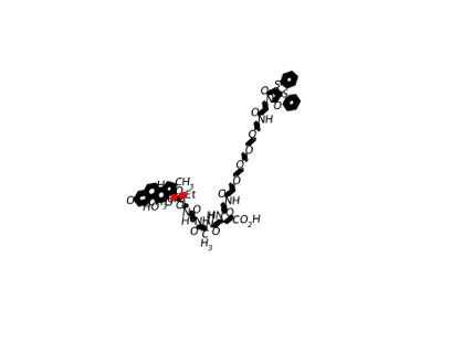 CCC(=O)O[C@]1(C(=O)COCNC(=O)CNC(=O)[C@H](C)NC(=O)[C@H](CCC(=O)O)NC(=O)CNC(=O)CCOCCOCCOCCOCCNC(=O)CCN2C(=O)C(Sc3ccccc3)=C(Sc3ccccc3)C2=O)[C@@H](C)CC2[C@@H]3CCC4=CC(=O)C=C[C@]4(C)[C@@]3(Cl)[C@@H](O)C[C@@]21C